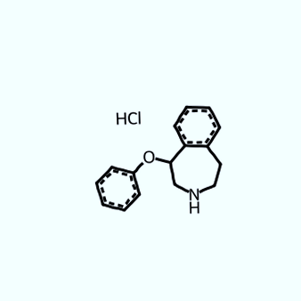 Cl.c1ccc(OC2CNCCc3ccccc32)cc1